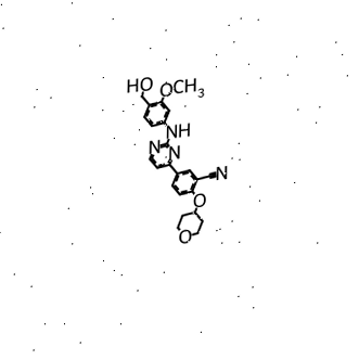 COc1cc(Nc2nccc(-c3ccc(OC4CCOCC4)c(C#N)c3)n2)ccc1CO